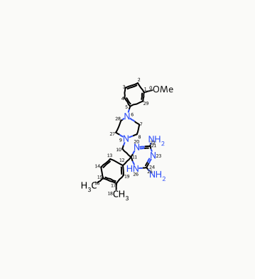 COc1cccc(N2CCN(CC3(c4ccc(C)c(C)c4)N=C(N)N=C(N)N3)CC2)c1